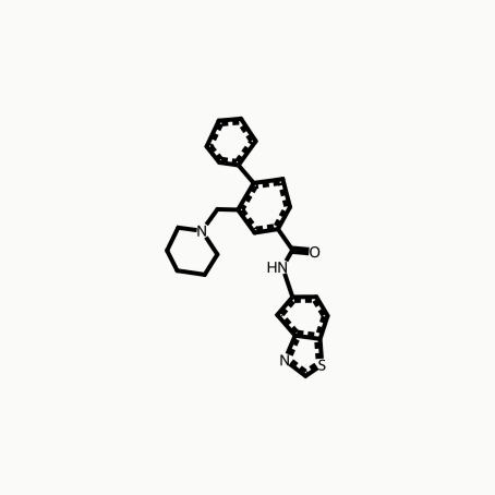 O=C(Nc1ccc2scnc2c1)c1ccc(-c2ccccc2)c(CN2CCCCC2)c1